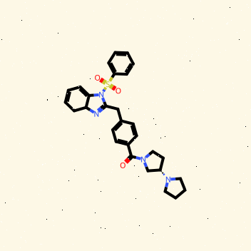 O=C(c1ccc(CC2=NC3CC=CC=C3N2S(=O)(=O)c2ccccc2)cc1)N1CC[C@H](N2CCCC2)C1